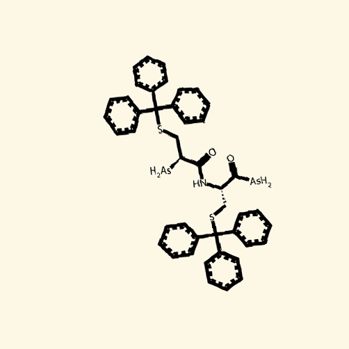 O=C([AsH2])[C@H](CSC(c1ccccc1)(c1ccccc1)c1ccccc1)NC(=O)[C@@H]([AsH2])CSC(c1ccccc1)(c1ccccc1)c1ccccc1